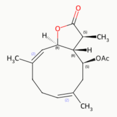 CC(=O)O[C@H]1C/C(C)=C\CC/C(C)=C\[C@H]2OC(=O)[C@@H](C)[C@H]12